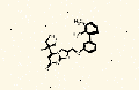 CCC(F)(F)c1cc(=O)nc2n1CC(COc1cccc(-c3cccc(C)c3C)c1)O2